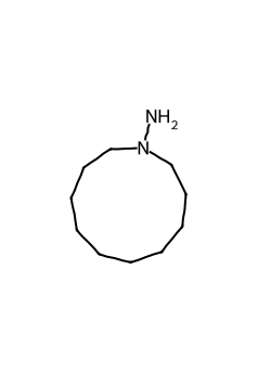 NN1CCCCCCCCCC1